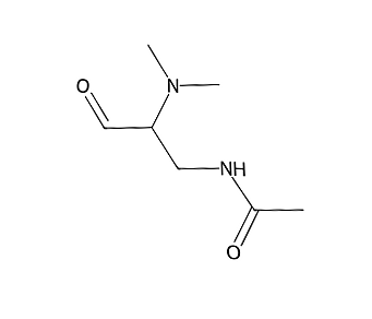 CC(=O)NCC(C=O)N(C)C